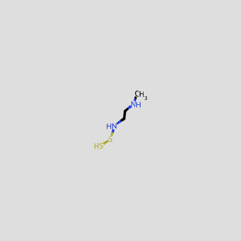 CNCCNSS